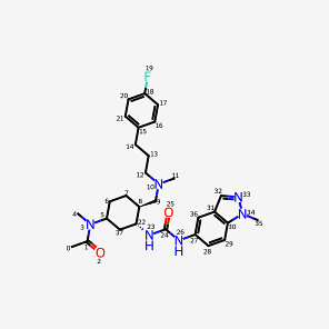 CC(=O)N(C)C1CC[C@@H](CN(C)CCCc2ccc(F)cc2)[C@H](NC(=O)Nc2ccc3c(cnn3C)c2)C1